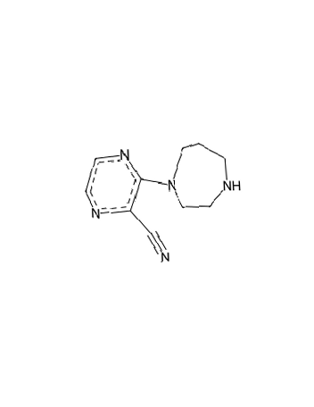 N#Cc1nccnc1N1CCCNCC1